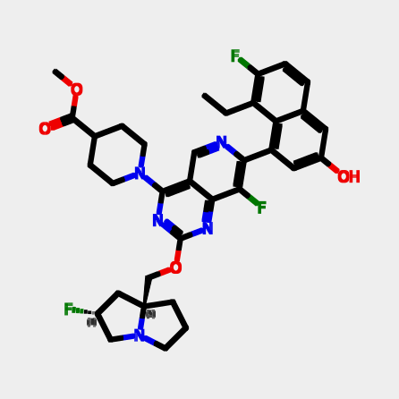 CCc1c(F)ccc2cc(O)cc(-c3ncc4c(N5CCC(C(=O)OC)CC5)nc(OC[C@@]56CCCN5C[C@H](F)C6)nc4c3F)c12